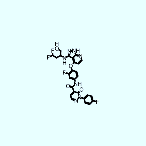 O=C(Nc1ccc(Oc2ccnc3[nH]nc(NC(CO)CC(F)F)c23)c(F)c1)c1ccnn(-c2ccc(F)cc2)c1=O